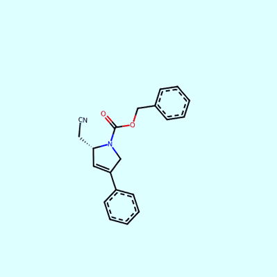 N#CC[C@H]1C=C(c2ccccc2)CN1C(=O)OCc1ccccc1